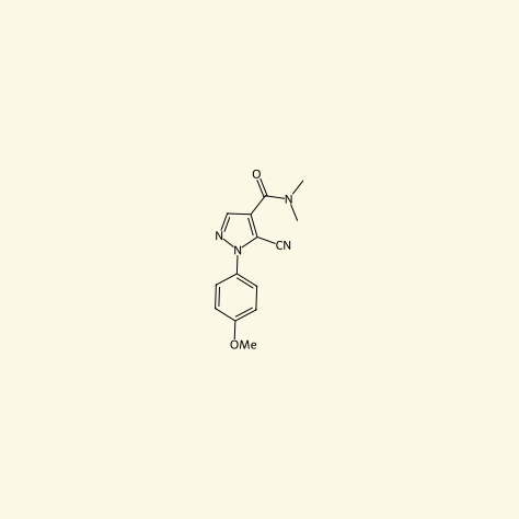 COc1ccc(-n2ncc(C(=O)N(C)C)c2C#N)cc1